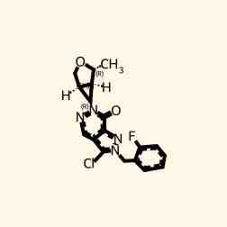 C[C@H]1OC[C@H]2[C@@H]1[C@@H]2n1ncc2c(Cl)n(Cc3ccccc3F)nc2c1=O